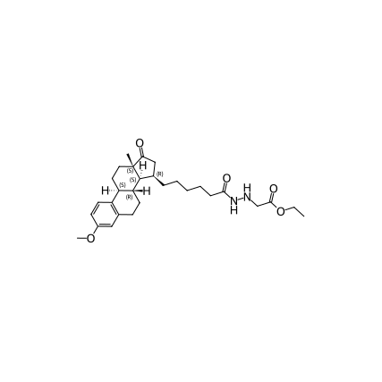 CCOC(=O)CNNC(=O)CCCCC[C@@H]1CC(=O)[C@@]2(C)CC[C@@H]3c4ccc(OC)cc4CC[C@H]3[C@H]12